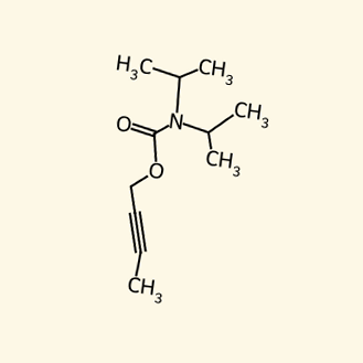 CC#CCOC(=O)N(C(C)C)C(C)C